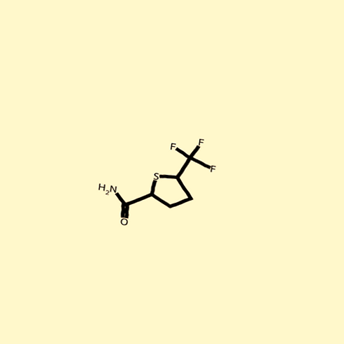 NC(=O)C1CCC(C(F)(F)F)S1